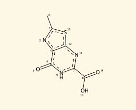 Cc1nc2c(=O)[nH]c(C(=O)O)nc2s1